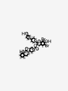 O=C(O[C@H](Cc1cc(Br)c(O)c(Br)c1)C(=O)N1CCC(N2CC[C@H](O)C2)CC1)N1CCC(N2CCc3ccccc3NC2=O)CC1